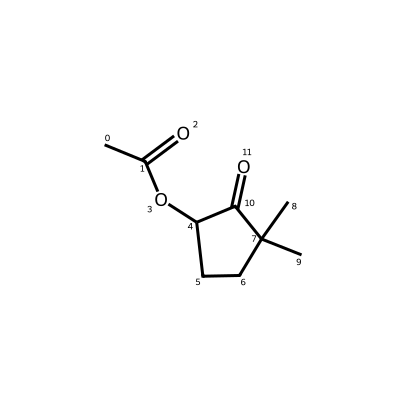 CC(=O)OC1CCC(C)(C)C1=O